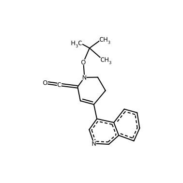 CC(C)(C)ON1CCC(c2cncc3ccccc23)=CC1=C=O